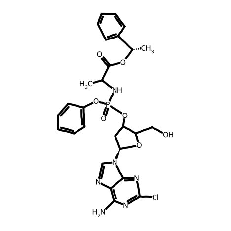 CC(NP(=O)(Oc1ccccc1)OC1C[C@H](n2cnc3c(N)nc(Cl)nc32)OC1CO)C(=O)O[C@@H](C)c1ccccc1